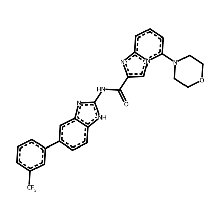 O=C(Nc1nc2cc(-c3cccc(C(F)(F)F)c3)ccc2[nH]1)c1cn2c(N3CCOCC3)cccc2n1